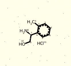 Cc1ccccc1[C@H](N)CO.Cl